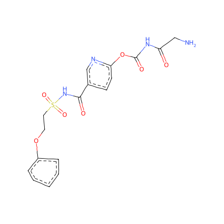 NCC(=O)NC(=O)Oc1ccc(C(=O)NS(=O)(=O)CCOc2ccccc2)cn1